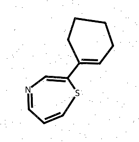 C1=CSC(C2=CCCCC2)=CN=C1